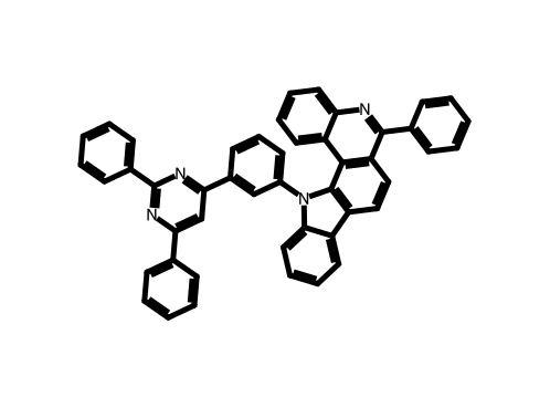 c1ccc(-c2cc(-c3cccc(-n4c5ccccc5c5ccc6c(-c7ccccc7)nc7ccccc7c6c54)c3)nc(-c3ccccc3)n2)cc1